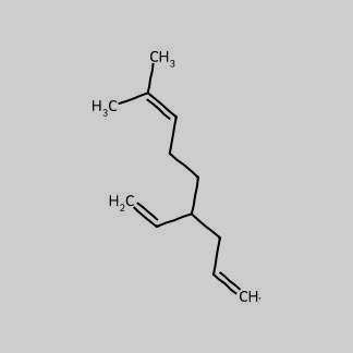 [CH]=CCC(C=C)CCC=C(C)C